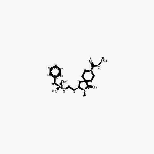 CN1C(=O)C2(CCN(C(=O)OC(C)(C)C)CC2)C[C@@H]1CCOS(=O)(=O)Cc1ccccc1